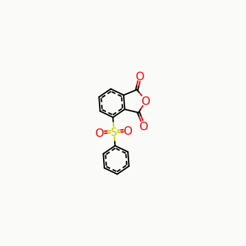 O=C1OC(=O)c2c1cccc2S(=O)(=O)c1ccccc1